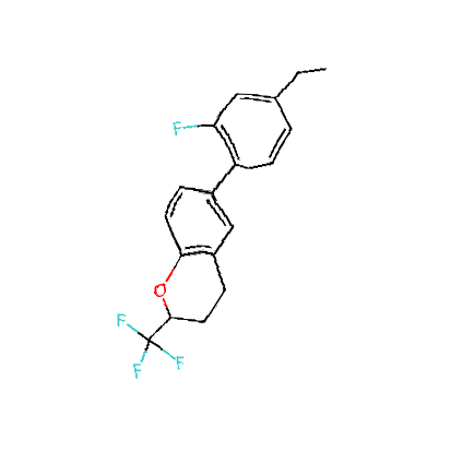 CCc1ccc(-c2ccc3c(c2)CCC(C(F)(F)F)O3)c(F)c1